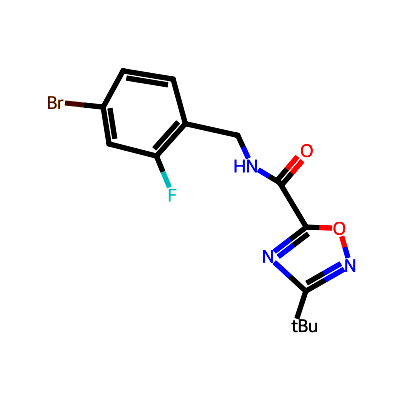 CC(C)(C)c1noc(C(=O)NCc2ccc(Br)cc2F)n1